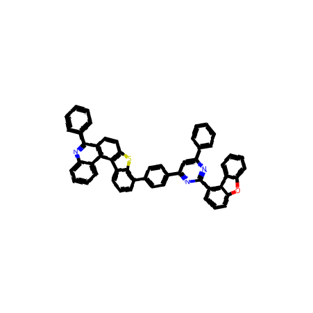 c1ccc(-c2cc(-c3ccc(-c4cccc5c4sc4ccc6c(-c7ccccc7)nc7ccccc7c6c45)cc3)nc(-c3cccc4oc5ccccc5c34)n2)cc1